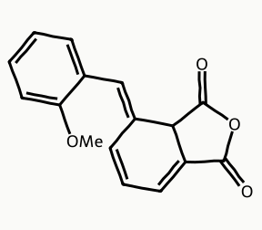 COc1ccccc1C=C1C=CC=C2C(=O)OC(=O)C12